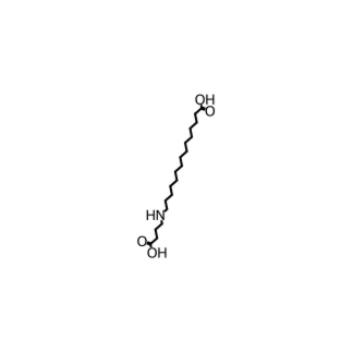 O=C(O)CCCCCCCCCCCCCCNCCCC(=O)O